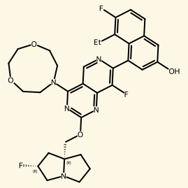 CCc1c(F)ccc2cc(O)cc(-c3ncc4c(N5CCOCCOCC5)nc(OC[C@]56CCCN5C[C@H](F)C6)nc4c3F)c12